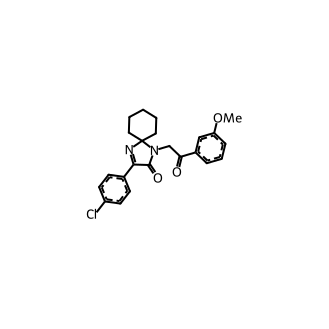 COc1cccc(C(=O)CN2C(=O)C(c3ccc(Cl)cc3)=NC23CCCCC3)c1